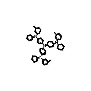 CC1=CCCC(N(c2ccccc2)c2ccc(N(c3ccc(N(c4ccccc4)c4cccc(C)c4)cc3)c3ccc(N(c4ccccc4)c4cccc(C)c4)cc3)cc2)=C1